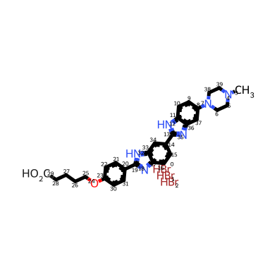 Br.Br.Br.CN1CCN(c2ccc3[nH]c(-c4ccc5nc(-c6ccc(OCCCCC(=O)O)cc6)[nH]c5c4)nc3c2)CC1